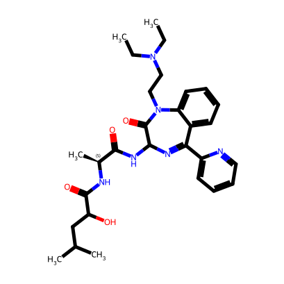 CCN(CC)CCN1C(=O)C(NC(=O)[C@H](C)NC(=O)C(O)CC(C)C)N=C(c2ccccn2)c2ccccc21